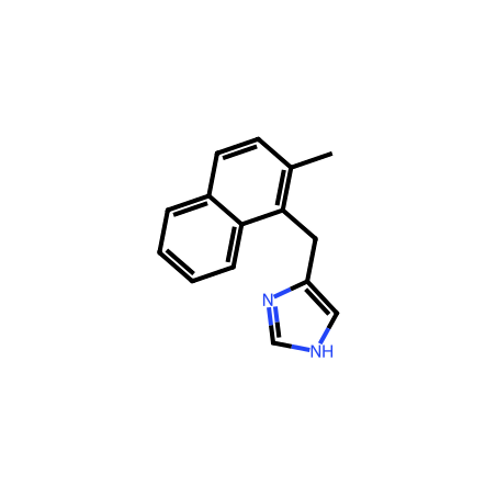 Cc1ccc2ccccc2c1Cc1c[nH]cn1